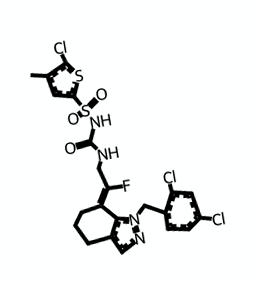 Cc1cc(S(=O)(=O)NC(=O)NCC(F)=C2CCCc3cnn(Cc4ccc(Cl)cc4Cl)c32)sc1Cl